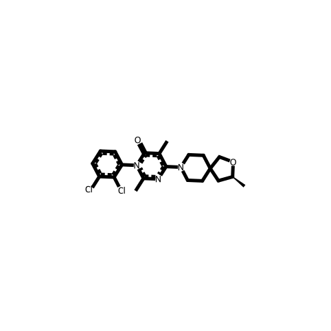 Cc1c(N2CCC3(CC2)CO[C@@H](C)C3)nc(C)n(-c2cccc(Cl)c2Cl)c1=O